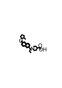 CCC(c1ccc2cc(OC3CCCC3C)ccc2c1)N1CCC(C(=O)O)CC1